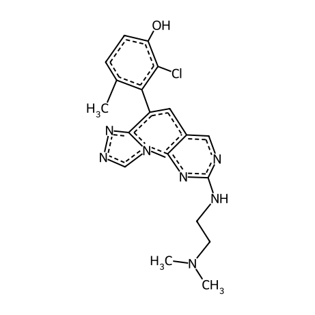 Cc1ccc(O)c(Cl)c1-c1cc2cnc(NCCN(C)C)nc2n2cnnc12